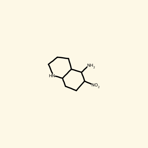 NC1C2CCCNC2CCC1[N+](=O)[O-]